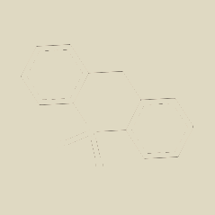 O=S1(=O)c2ccccc2Cc2ccccc21